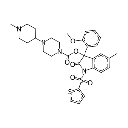 COc1ccccc1C1(OC(=O)N2CCN(C3CCN(C)CC3)CC2)C(=O)N(S(=O)(=O)c2cccs2)c2ccc(C)cc21